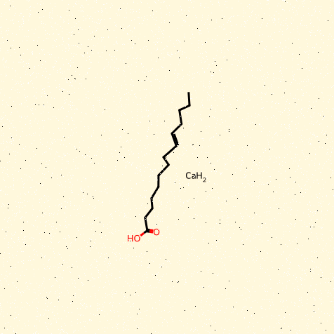 CCCCC=CCCCCCCCC(=O)O.[CaH2]